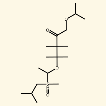 CC(C)C[SH](C)(=O)C(C)OC(C)(C)C(C)(C)C(=O)COC(C)C